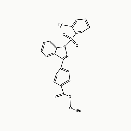 CC(C)(C)OOC(=O)c1ccc(-c2nn(S(=O)(=O)c3ccccc3C(F)(F)F)c3ccccc23)cc1